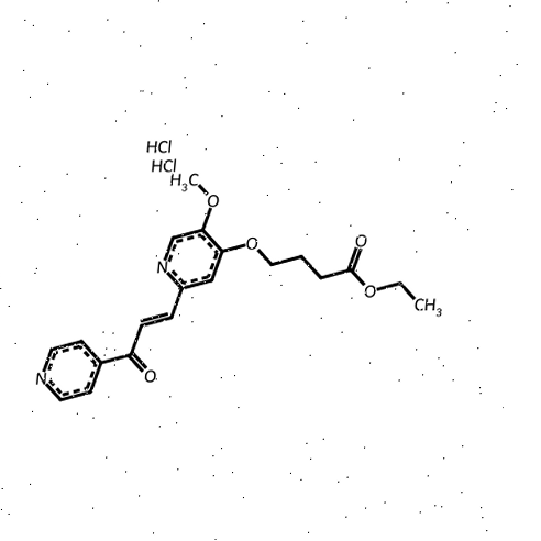 CCOC(=O)CCCOc1cc(/C=C/C(=O)c2ccncc2)ncc1OC.Cl.Cl